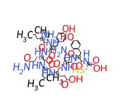 CC(C)C[C@H](NC(=O)[C@H](CCC(N)=O)NC(=O)[C@H](Cc1ccc(O)cc1)NC(=O)[C@@H](N)CC(C)C)C(=O)N[C@@H](CCC(=O)O)C(=O)N[C@@H](CC(N)=O)C(=O)N[C@@H](Cc1ccc(O)cc1)C(=O)N[C@@H](CS)C(=O)O